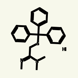 C/N=C(/CSC(c1ccccc1)(c1ccccc1)c1ccccc1)N(C)C.I